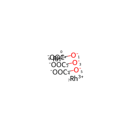 O=C([O-])[O-].O=C([O-])[O-].O=C([O-])[O-].[Rh+3].[Rh+3]